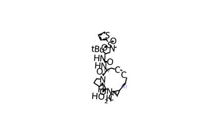 CN(CC(NC(=O)N[C@H]1CCCCC/C=C\C2C[C@@]2(C(=O)O)NC(=O)[C@@H]2CCCN2C1=O)C(C)(C)C)S(=O)(=O)c1cccs1